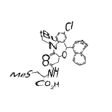 CSC[C@H](NC(=O)CC1OC(c2cccc3ccccc23)c2cc(Cl)ccc2N(CC(C)(C)C)C1=O)C(=O)O